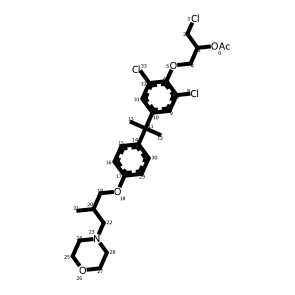 CC(=O)OC(CCl)COc1c(Cl)cc(C(C)(C)c2ccc(OCC(C)CN3CCOCC3)cc2)cc1Cl